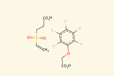 C=CS(=O)(=O)CCC(=O)O.O=C(O)COc1c(F)c(F)c(F)c(F)c1F